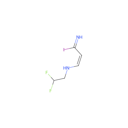 N=C(I)/C=C\NCC(F)F